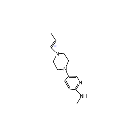 C/C=C/N1CCN(c2ccc(NC)nc2)CC1